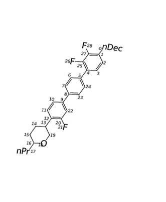 CCCCCCCCCCc1ccc(-c2ccc(-c3ccc(C4CCC(CCC)OC4)c(F)c3)cc2)c(F)c1F